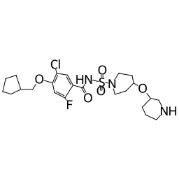 O=C(NS(=O)(=O)N1CCC(OC2CCCNC2)CC1)c1cc(Cl)c(OCC2CCCC2)cc1F